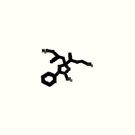 CCOC(=O)C1(CC(=O)OC)N=C(c2ccccn2)N(C)O1